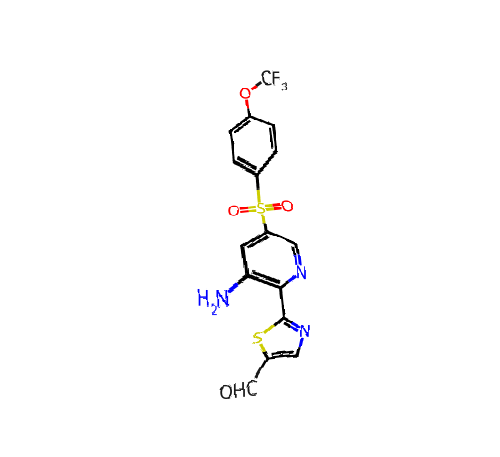 Nc1cc(S(=O)(=O)c2ccc(OC(F)(F)F)cc2)cnc1-c1ncc(C=O)s1